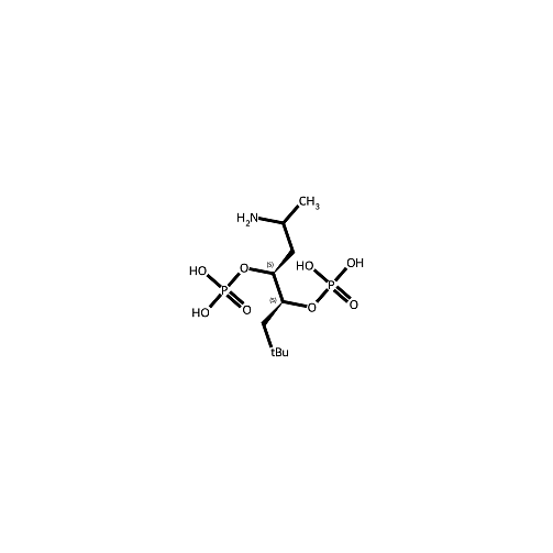 CC(N)C[C@H](OP(=O)(O)O)[C@H](CC(C)(C)C)OP(=O)(O)O